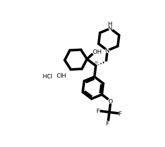 Cl.Cl.OC1([C@H](CN2CCNCC2)c2cccc(OC(F)(F)F)c2)CCCCC1